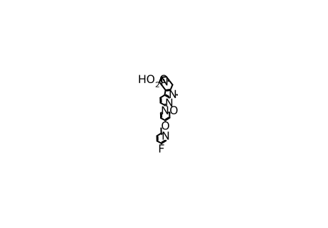 Cn1c2c(c3ccc(-n4ccc(OCc5ccc(F)cn5)cc4=O)nc31)C1CCCC(C2)N1C(=O)O